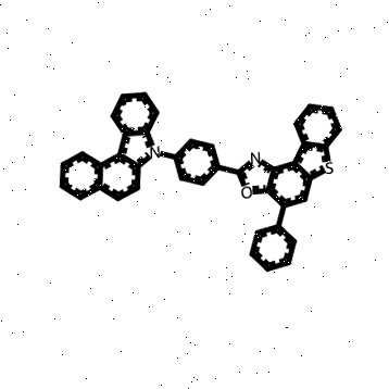 c1ccc(-c2cc3sc4ccccc4c3c3nc(-c4ccc(-n5c6ccccc6c6c7ccccc7ccc65)cc4)oc23)cc1